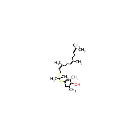 CC(C)=CCCC(C)=CCCC(C)=CCSC(C)(C)Sc1cc(C)c(O)c(C)c1